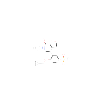 CCS(=O)(=O)c1ccc(OCC2CC2)c(-c2cn(C)c(=O)c3occc23)c1